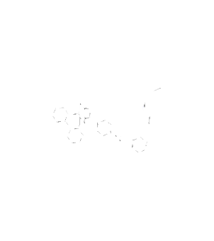 C=CC/C=C\C=C/Cc1ccccc1CN(C)c1ccc(-c2cnc3c4ccccc4c4ccccc4n23)cc1